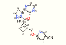 N#Cc1ccc(OCC23CC(C2)[C@@H](C(=O)N2N=CCC2c2cnccn2)C3)nc1